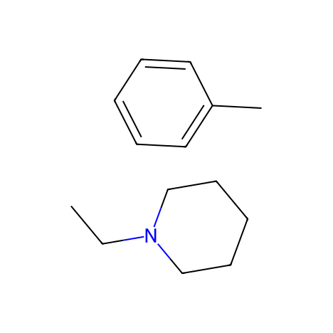 CCN1CCCCC1.Cc1ccccc1